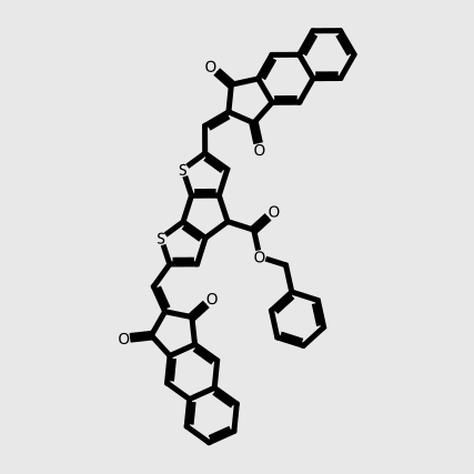 O=C1C(=Cc2cc3c(s2)-c2sc(C=C4C(=O)c5cc6ccccc6cc5C4=O)cc2C3C(=O)OCc2ccccc2)C(=O)c2cc3ccccc3cc21